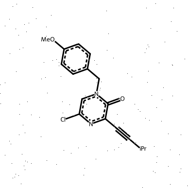 COc1ccc(Cn2cc(Cl)nc(C#CC(C)C)c2=O)cc1